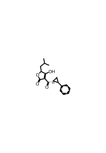 CC(C)CC1OC(=O)C(C(=O)[C@@H]2CC2c2ccccc2)=C1O